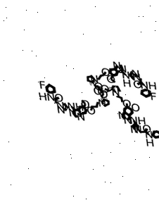 COc1cc2c(Nc3cnn(CC(=O)Nc4cccc(F)c4)c3)ncnc2cc1OCCCN1CCC[C@@H]1COP(=O)(OC[C@H]1CCCN1CCCOc1cc2ncnc(Nc3cnn(CC(=O)Nc4cccc(F)c4)c3)c2cc1OC)OC[C@H]1CCCN1CCCOc1cc2ncnc(Nc3cnn(CC(=O)Nc4cccc(F)c4)c3)c2cc1OC